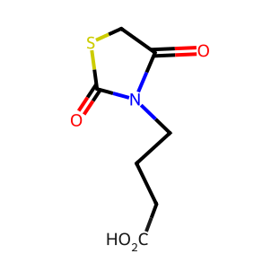 O=C(O)CCCN1C(=O)CSC1=O